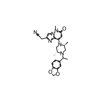 CC(c1ccc2c(c1)OCO2)N1C[C@H](C)N(c2cc(=O)n(C)n3cc(CC#N)nc23)C[C@H]1C